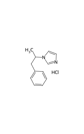 CC(Cc1ccccc1)n1ccnc1.Cl